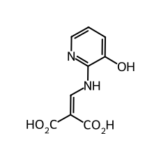 O=C(O)C(=CNc1ncccc1O)C(=O)O